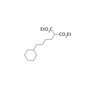 CCOC(=O)C(CCCCC1CCCCC1)C(=O)OCC